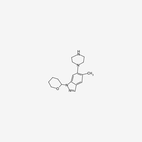 Cc1cc2cnn(C3CCCCO3)c2cc1N1CCNCC1